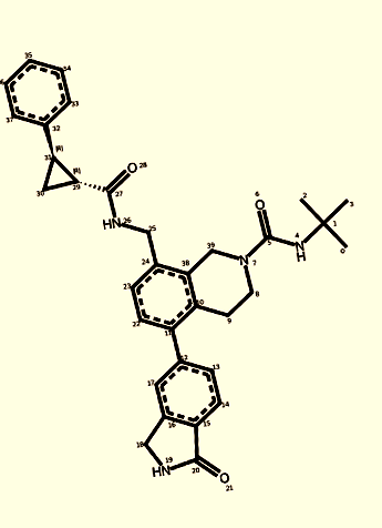 CC(C)(C)NC(=O)N1CCc2c(-c3ccc4c(c3)CNC4=O)ccc(CNC(=O)[C@@H]3C[C@H]3c3ccccc3)c2C1